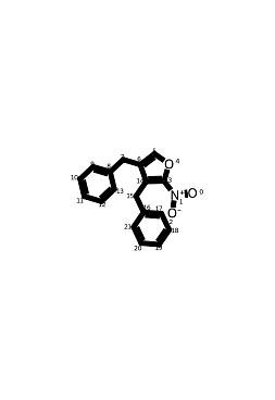 O=[N+]([O-])c1o[c]c(Cc2ccccc2)c1Cc1ccccc1